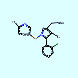 CCc1ccc(Sn2cc(CNC)c(CC)c2-c2ccccc2F)cn1